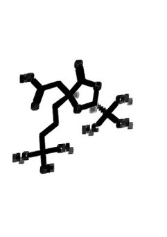 CC(C)(O)CCC[C@]1(CC(=O)O)O[C@@H](C(C)(C)C)OC1=O